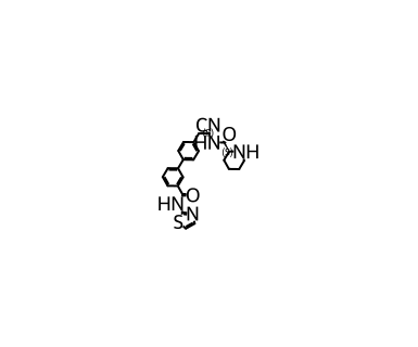 N#C[C@H](Cc1ccc(-c2cccc(C(=O)Nc3nccs3)c2)cc1)NC(=O)[C@@H]1CCCCN1